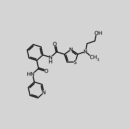 CN(CCO)c1nc(C(=O)Nc2ccccc2C(=O)Nc2cccnc2)cs1